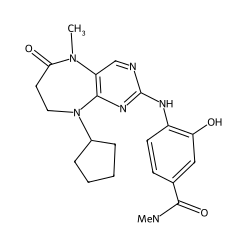 CNC(=O)c1ccc(Nc2ncc3c(n2)N(C2CCCC2)CCC(=O)N3C)c(O)c1